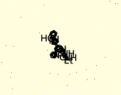 CCNC(=O)Nc1nc2cc(-c3cnc(C4(O)CCCCC4)nc3)cc(-c3ccccn3)c2s1